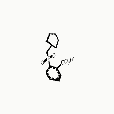 O=C(O)c1ccccc1S(=O)(=O)CC1CCCCC1